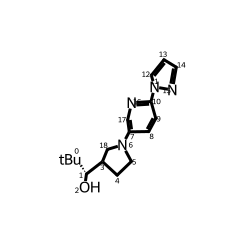 CC(C)(C)[C@@H](O)C1CCN(c2ccc(-n3cccn3)nc2)C1